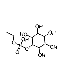 CCOP(=O)(O)OC1C(O)C(O)C(O)C(O)C1O